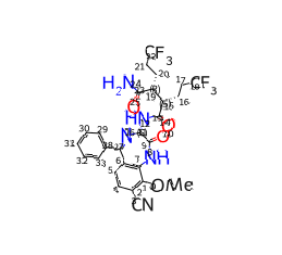 COc1c(C#N)ccc2c1NC(=O)[C@@H](NC(=O)[C@@H](CCC(F)(F)F)[C@@H](CCC(F)(F)F)C(N)=O)N=C2c1ccccc1